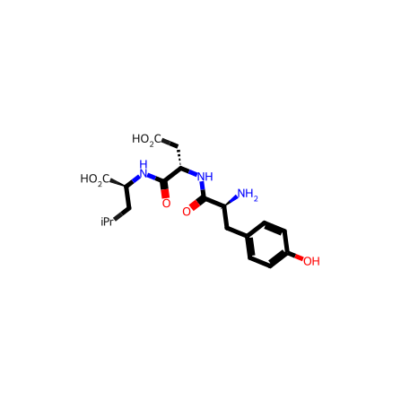 CC(C)C[C@H](NC(=O)[C@H](CC(=O)O)NC(=O)[C@@H](N)Cc1ccc(O)cc1)C(=O)O